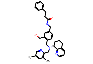 Cc1cnc(CN(Cc2ccc(CNC(=O)CCc3ccccc3)cc2CO)[C@@H]2CCCc3cccnc32)c(C)c1